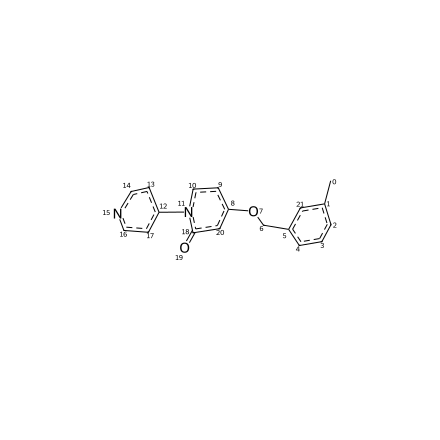 Cc1cccc(COc2ccn(-c3ccncc3)c(=O)c2)c1